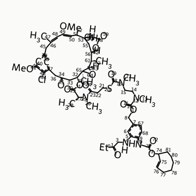 CCC(=O)CNc1cc(COC(=O)N(C)CCN(C)C(=O)SCCC(=O)N(C)[C@@H](C)C(=O)O[C@H]2CC(=O)Cc3cc(cc(OC)c3Cl)C/C(C)=C/C=C/[C@@H](OC)[C@@]3(O)C[C@H](OC(=O)N3)[C@@H](C)[C@@H]3O[C@@]23C)ccc1NC(=O)OC1/C=C/CCCCC1